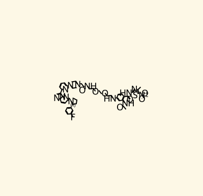 CC(=O)Nc1cc(NCCOCCOCCNC(=O)CN2CCN(c3cccc(-c4cnc5ccc(N6CCC[C@@H]6c6cccc(F)c6)nn45)n3)CC2)ccc1C(=O)Nc1nc(C)c([N+](=O)[O-])s1